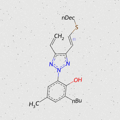 C=Cc1nn(-c2cc(C)cc(CCCC)c2O)nc1/C=C/SCCCCCCCCCC